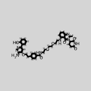 Cc1nc2cccc(NCCOCCOCCNC(=O)c3ccc(CCOc4cc(-c5ccccc5O)nnc4N)cc3)c2c(=O)n1C1CCC(=O)NC1=O